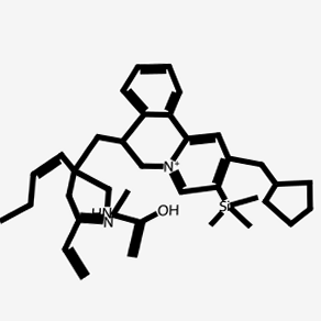 C=C/C(CC(/C=C\CC)(CNC(=C)O)CC1C[n+]2cc([Si](C)(C)C)c(CC3CCCC3)cc2-c2ccccc21)=N/C